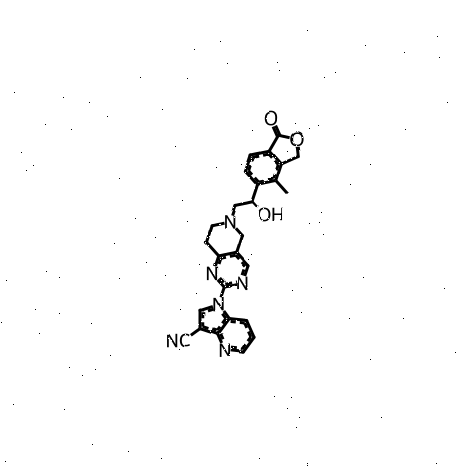 Cc1c(C(O)CN2CCc3nc(-n4cc(C#N)c5ncccc54)ncc3C2)ccc2c1COC2=O